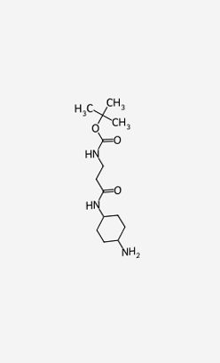 CC(C)(C)OC(=O)NCCC(=O)NC1CCC(N)CC1